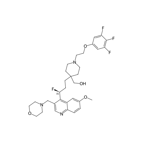 COc1ccc2ncc(CN3CCOCC3)c([C@@H](F)CCC3(CO)CCN(CCOc4cc(F)c(F)c(F)c4)CC3)c2c1